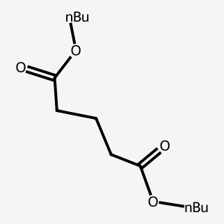 [CH2]CCCOC(=O)CCCC(=O)OCCCC